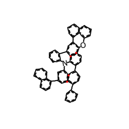 c1ccc(-c2ccc(-c3ccccc3N(c3cccc(-c4cccc5ccccc45)c3)c3ccccc3-c3ccc4c(c3)-c3cccc5cccc(c35)O4)cc2)cc1